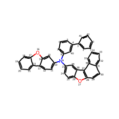 c1ccc(-c2cccc(N(c3ccc4c(c3)oc3ccccc34)c3ccc4oc5ccc6ccccc6c5c4c3)c2)cc1